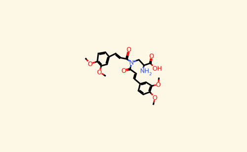 COc1ccc(C=CC(=O)N(CC(N)C(=O)O)C(=O)C=Cc2ccc(OC)c(OC)c2)cc1OC